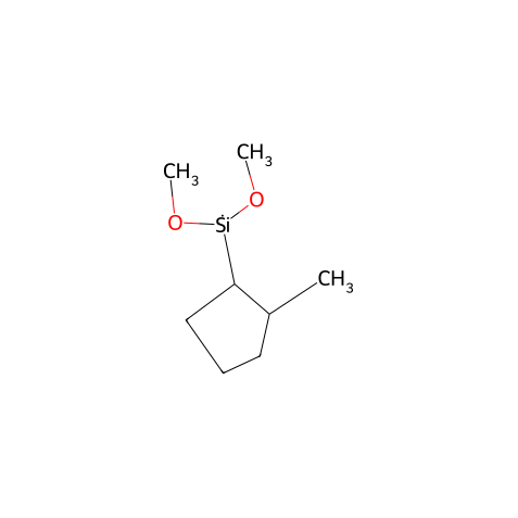 CO[Si](OC)C1CCCC1C